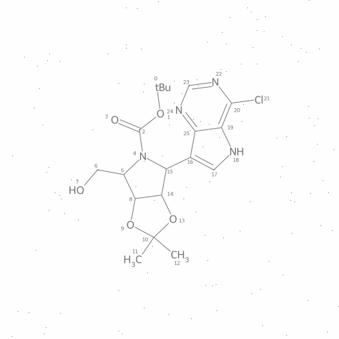 CC(C)(C)OC(=O)N1C(CO)C2OC(C)(C)OC2C1c1c[nH]c2c(Cl)ncnc12